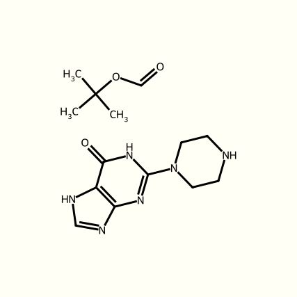 CC(C)(C)OC=O.O=c1[nH]c(N2CCNCC2)nc2nc[nH]c12